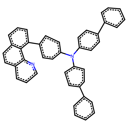 c1ccc(-c2ccc(N(c3ccc(-c4ccccc4)cc3)c3ccc(-c4cccc5ccc6cccnc6c45)cc3)cc2)cc1